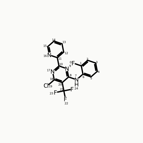 Fc1ccccc1Nc1nc(-c2ccccn2)nc(Cl)c1C(F)(F)F